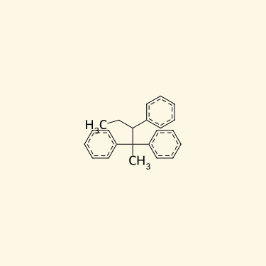 CCC(c1ccccc1)C(C)(c1ccccc1)c1ccccc1